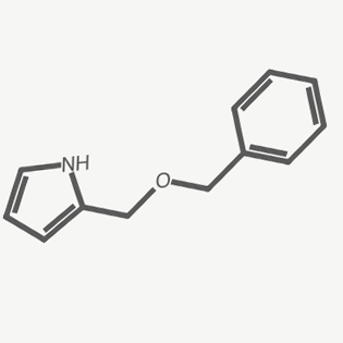 c1ccc(COCc2ccc[nH]2)cc1